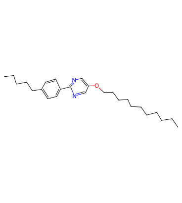 CCCCCCCCCCCOc1cnc(-c2ccc(CCCCC)cc2)nc1